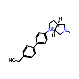 CN1C[C@H]2CCN(c3ccc(-c4ccc(CC#N)cc4)cc3)[C@H]2C1